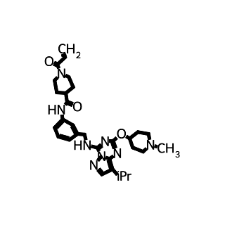 C=CC(=O)N1CCC(C(=O)Nc2cccc(CNc3nc(OC4CCN(C)CC4)nc4c(C(C)C)cnn34)c2)CC1